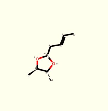 C/C=C/CB1O[C@H](C)[C@@H](C)O1